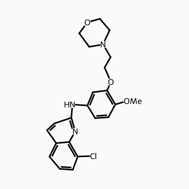 COc1ccc(Nc2ccc3cccc(Cl)c3n2)cc1OCCN1CCOCC1